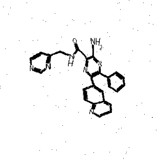 Nc1nc(-c2ccccc2)c(-c2ccc3ncccc3c2)nc1C(=O)NCc1ccncn1